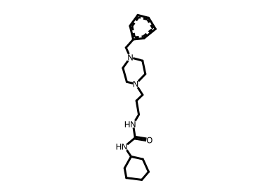 O=C(NCCCN1CCN(Cc2ccccc2)CC1)NC1CCCCC1